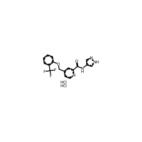 Cl.Cl.O=C(Nc1cn[nH]c1)c1cc(COc2ccccc2C(F)(F)F)ccn1